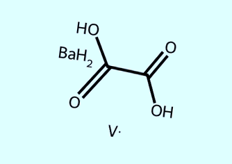 O=C(O)C(=O)O.[BaH2].[V]